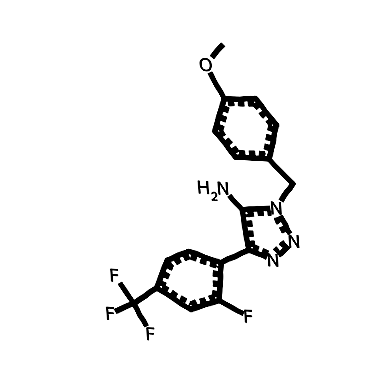 COc1ccc(Cn2nnc(-c3ccc(C(F)(F)F)cc3F)c2N)cc1